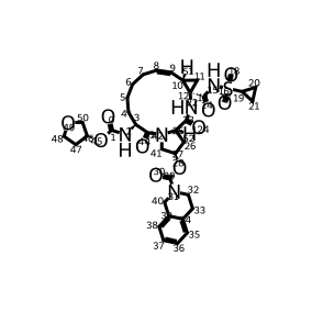 O=C(N[C@H]1CCCC/C=C\[C@@H]2C[C@@]2(C(=O)NS(=O)(=O)C2CC2)NC(=O)[C@@H]2C[C@@H](OC(=O)N3CCc4ccccc4C3)CN2C1=O)O[C@@H]1CCOC1